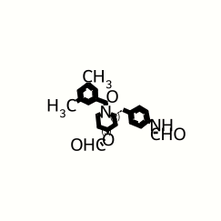 Cc1cc(C)cc(C(=O)N2CC[C@H](OC=O)C[C@H]2Cc2ccc(NC=O)cc2)c1